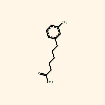 O=C(O)C(=O)CCCCCc1cccc(C(F)(F)F)c1